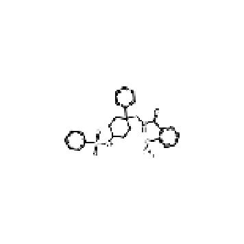 COc1ccccc1C(=O)NCC1(c2ccccc2)CCC(NS(=O)(=O)c2ccccc2)CC1